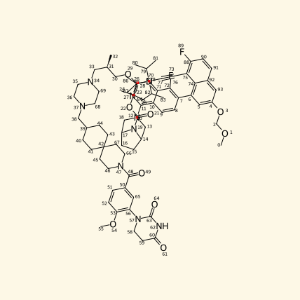 COCOc1cc(-c2ccc3c(N4CC5CCC(C4)N5C(=O)OC(C)(C)C)nc(OC[C@H](C)CN4CCN(CC5CCC6(CC5)CCN(C(=O)c5ccc(OC)c(N7CCC(=O)NC7=O)c5)CC6)CC4)nc3c2F)c2c(C#C[Si](C(C)C)(C(C)C)C(C)C)c(F)ccc2c1